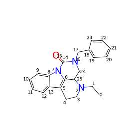 CCN1CCc2c3n(c4ccccc24)C(=O)N(Cc2ccccc2)CC31